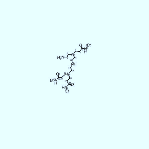 CCNC(=O)CCN(CCN)CCNCCN(CCC(=O)NCC)CCC(=O)NCC